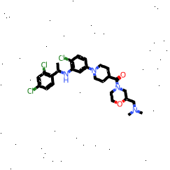 CC(Nc1cc(N2CCC(C(=O)N3CCOC(CN(C)C)C3)CC2)ccc1Cl)c1ccc(Cl)cc1Cl